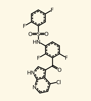 O=C(c1c(F)ccc(NS(=O)(=O)c2cc(F)ccc2F)c1F)c1c[nH]c2nccc(Cl)c12